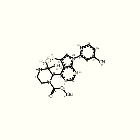 CC(C)(C)OC(=O)N1CCNC(C)(C)C1c1ncnc2c1c(C(F)(F)F)cn2-c1cc(C#N)ccn1